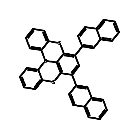 c1ccc2c(c1)Sc1c(-c3ccc4ccccc4c3)cc(-c3ccc4ccccc4c3)c3c1B2c1ccccc1S3